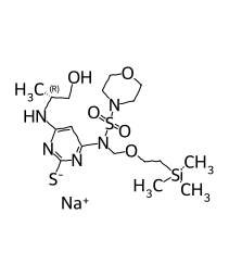 C[C@H](CO)Nc1cc(N(COCC[Si](C)(C)C)S(=O)(=O)N2CCOCC2)nc([S-])n1.[Na+]